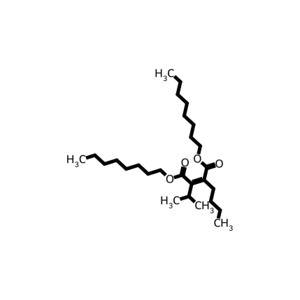 CCCCCCCCOC(=O)C(CCCC)=C(C(=O)OCCCCCCCC)C(C)C